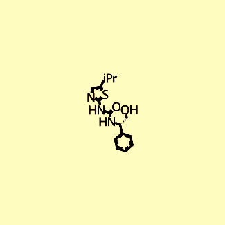 CC(C)c1cnc(NC(=O)N[C@H](CO)c2ccccc2)s1